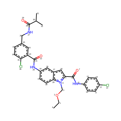 CCOCn1c(C(=O)Nc2ccc(Cl)cc2)cc2cc(NC(=O)c3cc(CNC(=O)C(C)C)ccc3Cl)ccc21